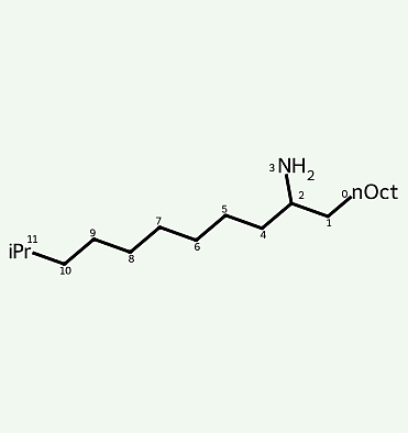 CCCCCCCCCC(N)CCCCCCCC(C)C